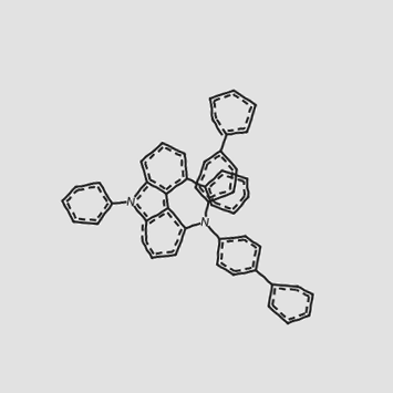 c1ccc(-c2ccc(N(c3ccc(-c4ccccc4)cc3)c3cccc4c3c3c(-c5ccccc5)cccc3n4-c3ccccc3)cc2)cc1